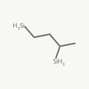 CC([SiH3])CC[SiH3]